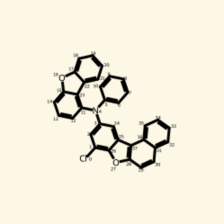 Clc1cc(N(c2ccccc2)c2cccc3oc4ccccc4c23)cc2c1oc1ccc3ccccc3c12